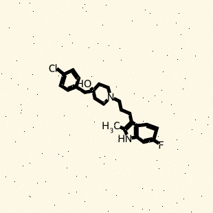 Cc1[nH]c2cc(F)ccc2c1CCCN1CCC(O)(Cc2ccc(Cl)cc2)CC1